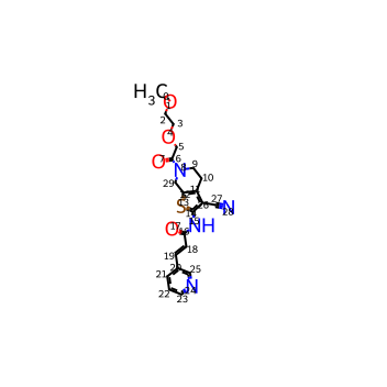 COCCOCC(=O)N1CCc2c(sc(NC(=O)/C=C/c3cccnc3)c2C#N)C1